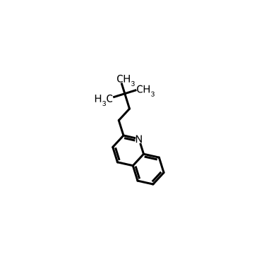 CC(C)(C)CCc1ccc2ccccc2n1